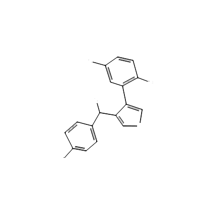 Nc1ccc(N)c(-c2cscc2C(N)c2ccc(Cl)cc2)c1